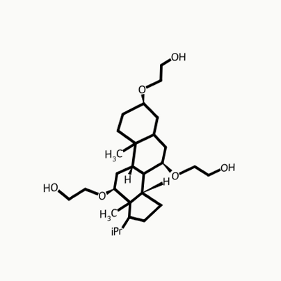 CC(C)C1CC[C@H]2C3[C@H](OCCO)CC4C[C@H](OCCO)CCC4(C)[C@H]3C[C@H](OCCO)C12C